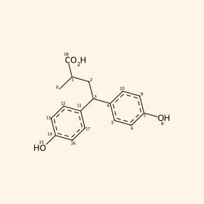 CC(CC(c1ccc(O)cc1)c1ccc(O)cc1)C(=O)O